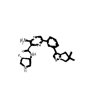 CC1(C)Cc2c(-c3cccc(-c4cnc(N)c(C(=O)N[C@H]5CNC[C@@H]5F)n4)c3)cnn2C1